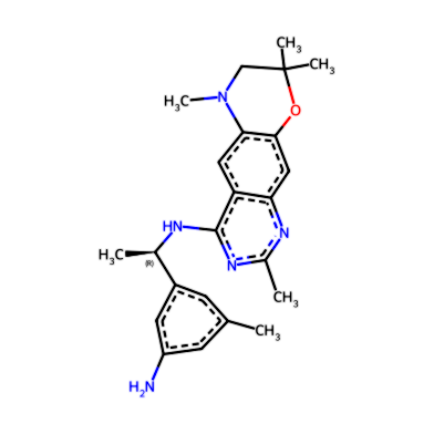 Cc1cc(N)cc([C@@H](C)Nc2nc(C)nc3cc4c(cc23)N(C)CC(C)(C)O4)c1